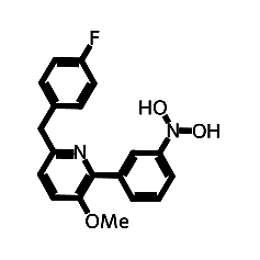 COc1ccc(Cc2ccc(F)cc2)nc1-c1cccc(N(O)O)c1